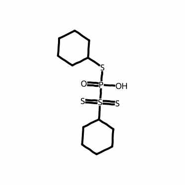 O=P(O)(SC1CCCCC1)S(=S)(=S)C1CCCCC1